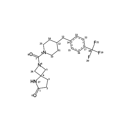 O=C1CCC2(CN(C(=O)N3CCC(Cc4ccc(C(F)(F)F)cc4)CC3)C2)N1